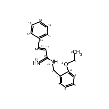 CCOc1ccccc1CNC(=N)/C=C/c1ccccc1